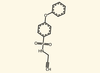 C#CCNS(=O)(=O)c1ccc(Oc2ccccc2)cc1